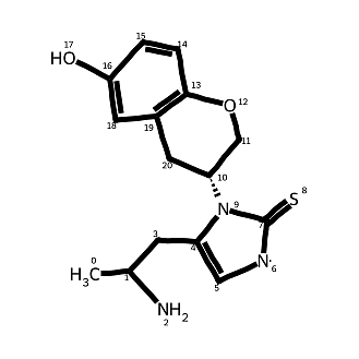 CC(N)CC1=C[N]C(=S)N1[C@H]1COc2ccc(O)cc2C1